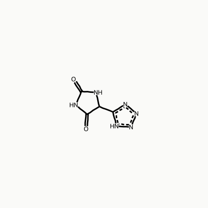 O=C1NC(=O)C(c2nnn[nH]2)N1